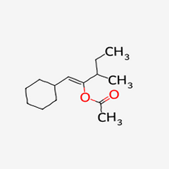 CCC(C)C(=CC1CCCCC1)OC(C)=O